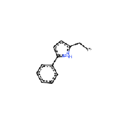 CC(C)Cc1ccc(-c2ccccc2)[nH]1